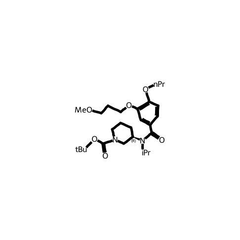 CCCOc1ccc(C(=O)N(C(C)C)[C@@H]2CCCN(C(=O)OC(C)(C)C)C2)cc1OCCCOC